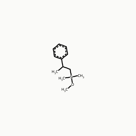 CO[Si](C)(C)CC(C)c1ccccc1